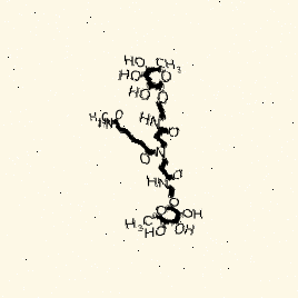 CNC(=O)CCCCC(=O)N(CCC(=O)NCCO[C@@H]1O[C@@H](C)[C@@H](O)[C@@H](O)[C@@H]1O)CCC(=O)NCCO[C@@H]1O[C@@H](C)[C@@H](O)[C@@H](O)[C@@H]1O